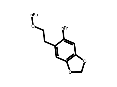 CCCCOCCc1cc2c(cc1CCC)OCO2